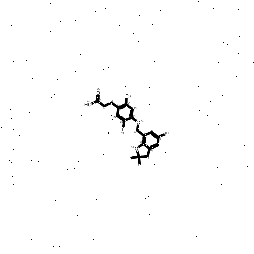 CC1(C)Cc2cc(F)cc(COc3cc(F)c(CCC(=O)O)cc3F)c2O1